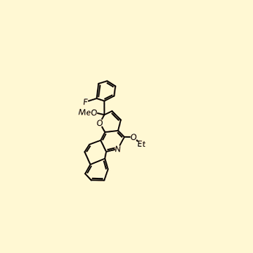 CCOc1nc2c(ccc3ccccc32)c2c1C=CC(OC)(c1ccccc1F)O2